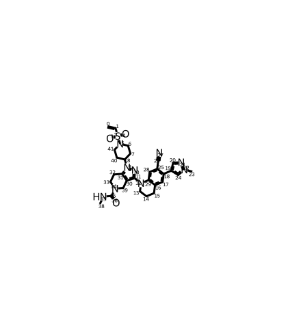 C=CS(=O)(=O)N1CCC(n2nc(N3CCCc4cc(-c5cnn(C)c5)c(C#N)cc43)c3c2CCN(C(=O)NC)C3)CC1